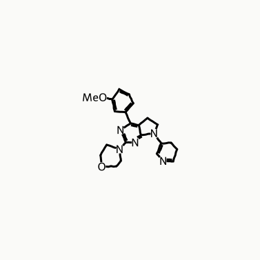 COc1cccc(-c2nc(N3CCOCC3)nc3c2CCN3C2=CN=CCC2)c1